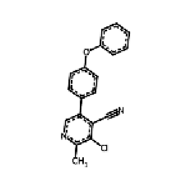 Cc1ncc(-c2ccc(Oc3ccccc3)cc2)c(C#N)c1Cl